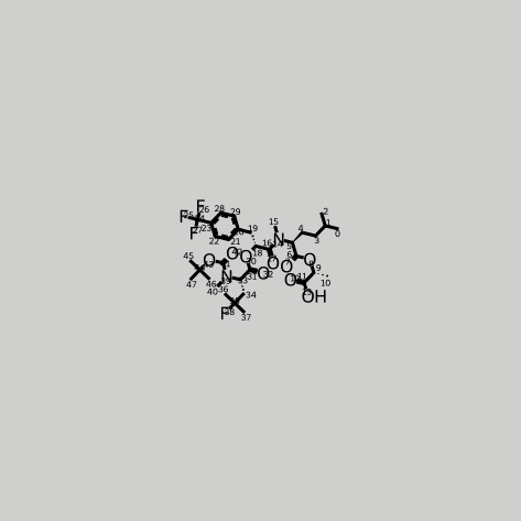 CC(C)CC[C@@H](C(=O)O[C@H](C)C(=O)O)N(C)C(=O)[C@@H](Cc1ccc(C(F)(F)F)cc1)OC(=O)[C@H](CC(C)(C)F)N(C)C(=O)OC(C)(C)C